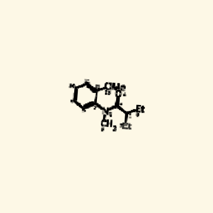 CCC(CC)C(=O)N(C)c1ccccc1OC